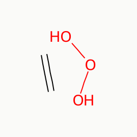 C=C.OOO